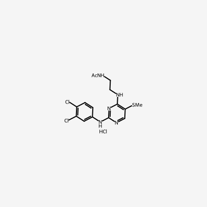 CSc1cnc(Nc2ccc(Cl)c(Cl)c2)nc1NCCNC(C)=O.Cl